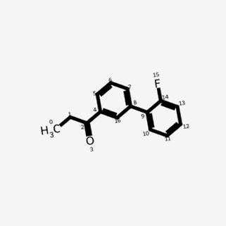 CCC(=O)c1cccc(-c2ccccc2F)c1